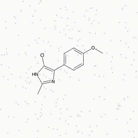 COc1ccc(-c2nc(C)[nH]c2Cl)cc1